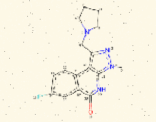 Cn1nc(CN2CCCC2)c2c3ccc(F)cc3c(=O)[nH]c21